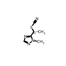 C[C@@H](SC#N)c1ncnn1C